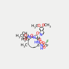 COc1cc2ccnc(O[C@@H]3C[C@H]4C(=O)N[C@]5(C(=O)NS(=O)(=O)C6(CF)CC6)CC5/C=C\CC[C@H](C)C[C@@H](C)[C@H](NC(=O)OC(C)(C)C)C(=O)N4C3)c2cc1OC